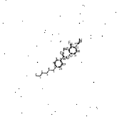 CCCCCCc1ccc(C(=O)Oc2ccc(C#N)c(F)c2F)cc1